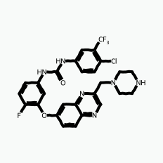 O=C(Nc1ccc(F)c(Oc2ccc3ncc(CN4CCNCC4)nc3c2)c1)Nc1ccc(Cl)c(C(F)(F)F)c1